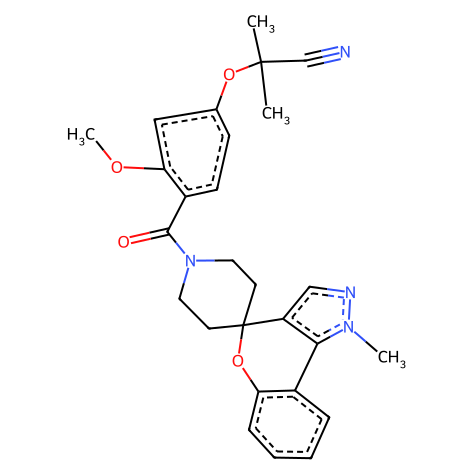 COc1cc(OC(C)(C)C#N)ccc1C(=O)N1CCC2(CC1)Oc1ccccc1-c1c2cnn1C